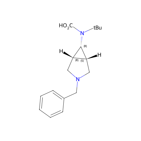 CC(C)(C)N(C(=O)O)[C@@H]1[C@@H]2CN(Cc3ccccc3)C[C@@H]21